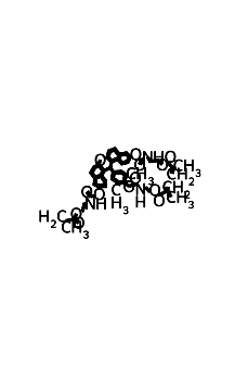 C=C(C)C(=O)OCCNC(=O)Oc1ccc2c3c(ccc2c1)Oc1ccc2cc(OC(=O)NCCOC(=O)C(=C)C)ccc2c1C3c1cc(C)c(OC(=O)NCCOC(=O)C(=C)C)c(C)c1